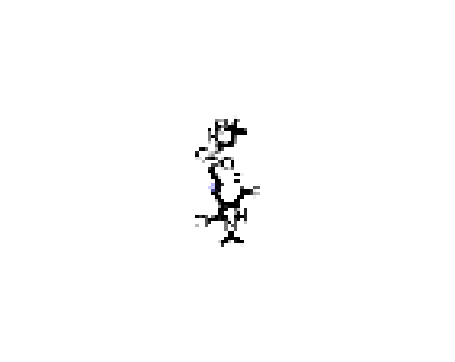 CC(C)n1nc(C(F)F)c(/C=C/CS(=O)(=O)C2=NOC(C)(C)C2)c1Cl